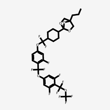 CCCC12COC(C3CCC(C(F)(F)Oc4ccc(C(F)(F)Oc5cc(F)c(C(F)(F)OC(F)(F)F)c(F)c5)c(F)c4)CC3)(OC1)O2